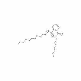 CCCCCCCCCCCOC(=O)c1ccccc1C(=O)OCCCCCCC